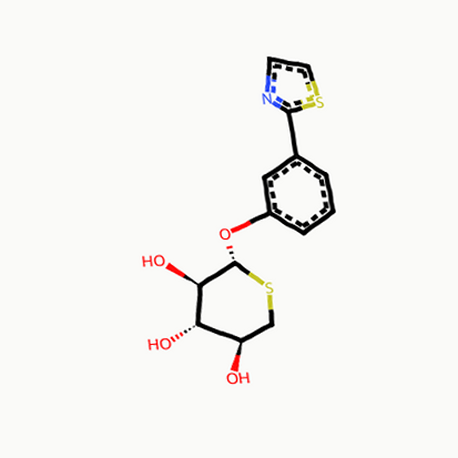 O[C@@H]1[C@@H](O)[C@H](Oc2cccc(-c3nccs3)c2)SC[C@H]1O